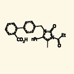 CCCc1c(C)n(C(=O)CC)c(=O)n1Cc1ccc(-c2ccccc2C(=O)O)cc1